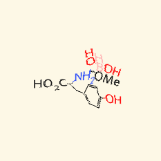 COC.NC(Cc1ccc(O)cc1)C(=O)O.OBO